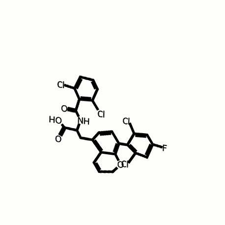 O=C(NC(Cc1ccc(-c2c(Cl)cc(F)cc2Cl)c2c1C=CCO2)C(=O)O)c1c(Cl)cccc1Cl